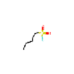 CCCCS(=O)(=O)F